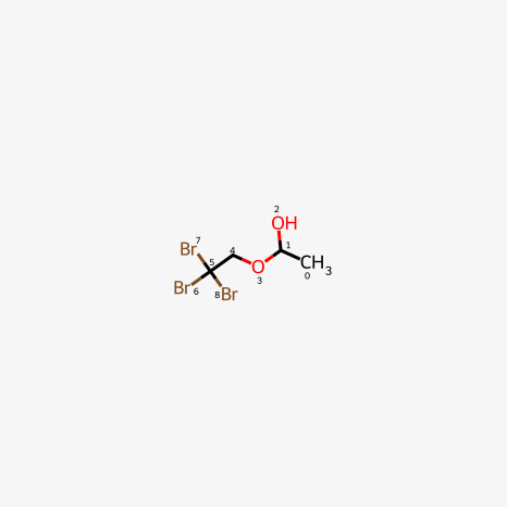 CC(O)OCC(Br)(Br)Br